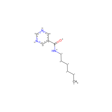 CCCCCCNC(=O)c1cn[c]nc1